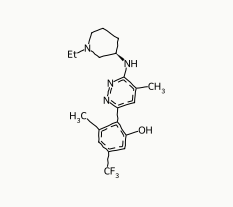 CCN1CCC[C@@H](Nc2nnc(-c3c(C)cc(C(F)(F)F)cc3O)cc2C)C1